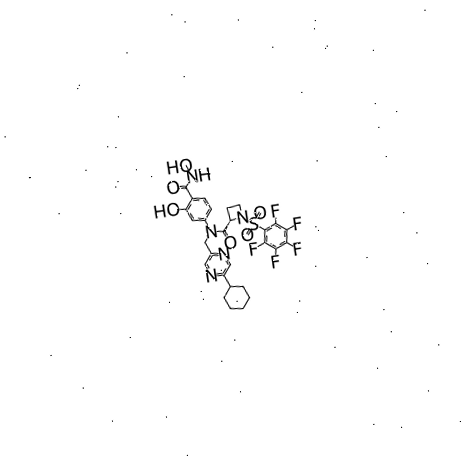 O=C(NO)c1ccc(N(Cc2cnc(C3CCCCC3)cn2)C(=O)[C@H]2CCN2S(=O)(=O)c2c(F)c(F)c(F)c(F)c2F)cc1O